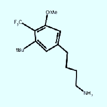 COc1cc(CCCCN)cc(C(C)(C)C)c1C(F)(F)F